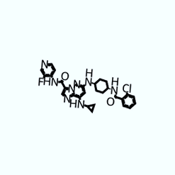 O=C(N[C@H]1CC[C@H](Nc2cc(NC3CC3)c3ncc(C(=O)Nc4ccncc4F)n3n2)CC1)c1ccccc1Cl